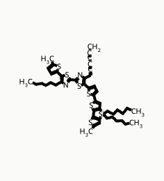 C=C=C=C=C=Cc1nc(-c2nc(CCCCCC)c(-c3ccc(C)s3)s2)sc1-c1ccc(-c2cc3c(s2)-c2sc(C)cc2[Si]3(CCCCCC)CCCCCC)s1